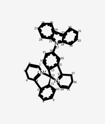 C1=C[N+]2=C(CC1)c1ccccc1[C@]21c2ccc(-n3c4ccccc4c4ccccc43)cc2C2=[N+]1C=CCC2